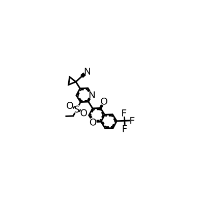 CCS(=O)(=O)c1cc(C2(C#N)CC2)cnc1-c1coc2ccc(C(F)(F)F)cc2c1=O